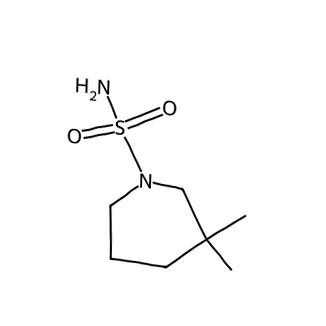 CC1(C)CCCN(S(N)(=O)=O)C1